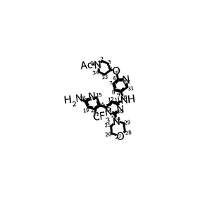 CC(=O)N1CCC(Oc2ccc(Nc3cc(-c4cnc(N)cc4C(F)(F)F)nc(N4CCOCC4)n3)cn2)CC1